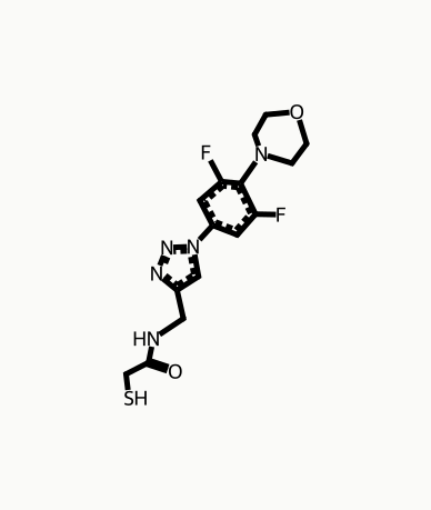 O=C(CS)NCc1cn(-c2cc(F)c(N3CCOCC3)c(F)c2)nn1